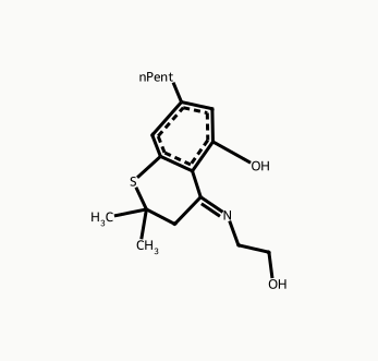 CCCCCc1cc(O)c2c(c1)SC(C)(C)CC2=NCCO